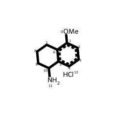 COc1cccc2c1CCCC2N.Cl